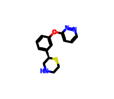 c1cc(Oc2cccnn2)cc([C@@H]2CNCCS2)c1